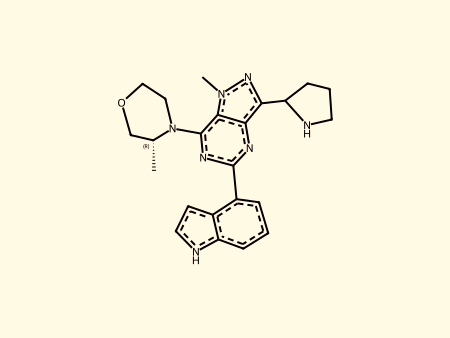 C[C@@H]1COCCN1c1nc(-c2cccc3[nH]ccc23)nc2c(C3CCCN3)nn(C)c12